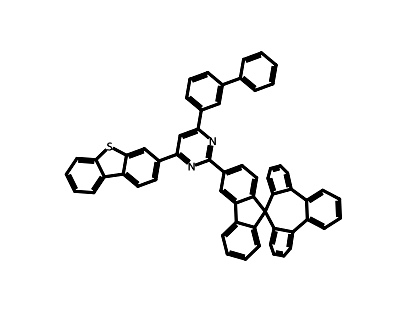 c1ccc(-c2cccc(-c3cc(-c4ccc5c(c4)sc4ccccc45)nc(-c4ccc5c(c4)-c4ccccc4C54c5ccccc5-c5ccccc5-c5ccccc54)n3)c2)cc1